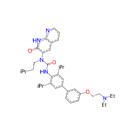 CCN(CC)CCOc1cccc(-c2cc(C(C)C)c(NC(=O)N(CCC(C)C)c3cc4cccnc4[nH]c3=O)c(C(C)C)c2)c1